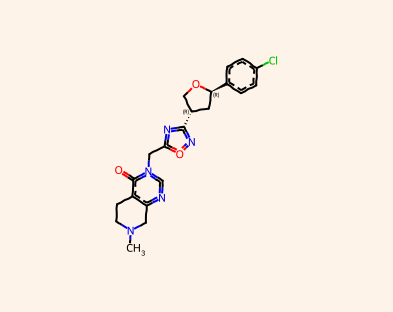 CN1CCc2c(ncn(Cc3nc([C@@H]4CO[C@@H](c5ccc(Cl)cc5)C4)no3)c2=O)C1